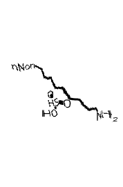 CCCCCCCCCCCCCCCCCCN.O=[SH](=O)O